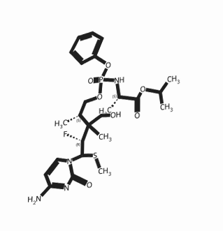 CSC([C@H](F)C(C)(CO)[C@H](C)COP(=O)(N[C@@H](C)C(=O)OC(C)C)Oc1ccccc1)n1ccc(N)nc1=O